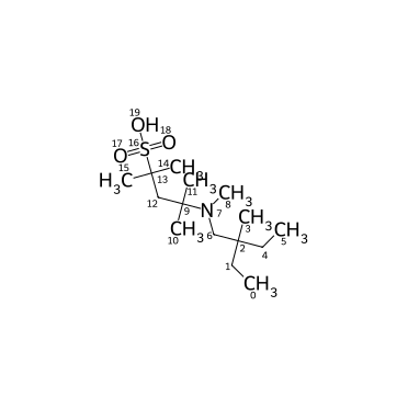 CCC(C)(CC)CN(C)C(C)(C)CC(C)(C)S(=O)(=O)O